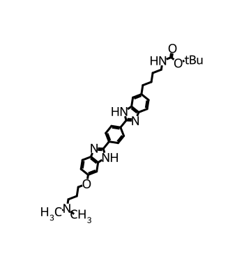 CN(C)CCCOc1ccc2nc(-c3ccc(-c4nc5ccc(CCCCNC(=O)OC(C)(C)C)cc5[nH]4)cc3)[nH]c2c1